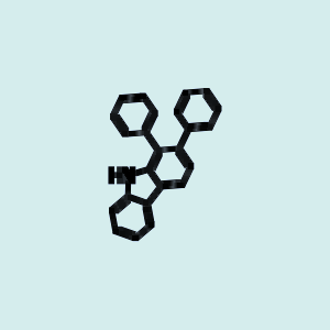 c1ccc(-c2ccc3c([nH]c4ccccc43)c2-c2ccccc2)cc1